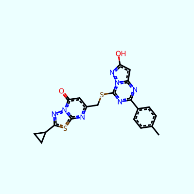 Cc1ccc(-c2nc(SCc3cc(=O)n4nc(C5CC5)sc4n3)n3nc(O)cc3n2)cc1